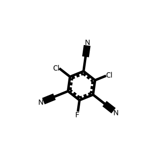 N#Cc1c(F)c(C#N)c(Cl)c(C#N)c1Cl